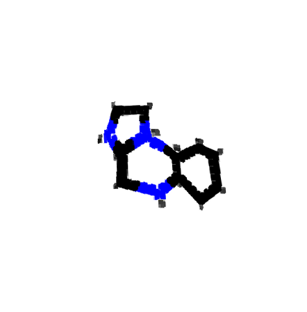 [c]1cnc2cnc3ccccc3n12